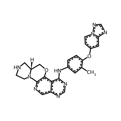 Cc1cc(Nc2ncnc3cnc4c(c23)OC[C@H]2CNCCN42)ccc1Oc1ccn2ncnc2c1